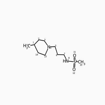 CC1CCN(CCCNS(C)(=O)=O)CC1